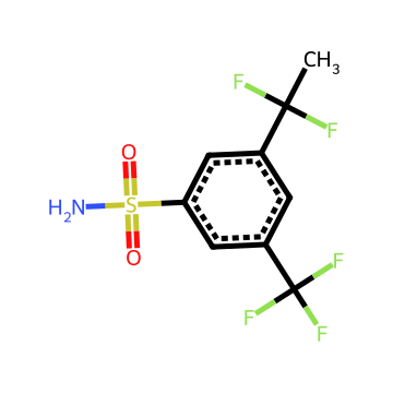 CC(F)(F)c1cc(C(F)(F)F)cc(S(N)(=O)=O)c1